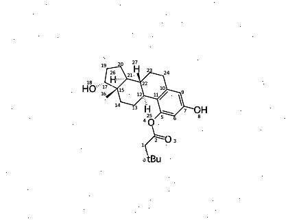 CC(C)(C)CC(=O)Oc1cc(O)cc2c1[C@H]1CC[C@]3(C)[C@H](O)CC[C@H]3[C@@H]1CC2